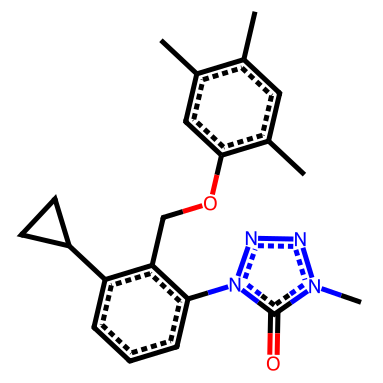 Cc1cc(C)c(OCc2c(C3CC3)cccc2-n2nnn(C)c2=O)cc1C